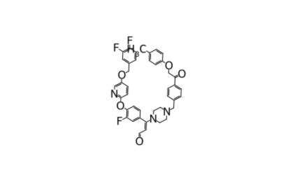 Cc1ccc(OCC(=O)c2ccc(CN3CCN(/C(=C/C=O)c4ccc(Oc5ccc(OCc6ccc(F)c(F)c6)cn5)c(F)c4)CC3)cc2)cc1